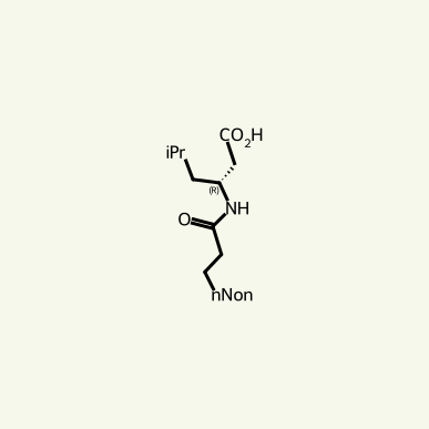 CCCCCCCCCCCC(=O)N[C@@H](CC(=O)O)CC(C)C